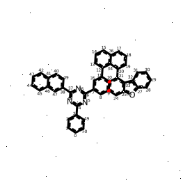 c1ccc(-c2nc(-c3cccc(-c4cccc5cccc(-c6cccc7oc8ccccc8c67)c45)c3)nc(-c3ccc4ccccc4c3)n2)cc1